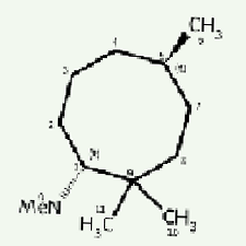 CN[C@@H]1CCC[C@@H](C)CCC1(C)C